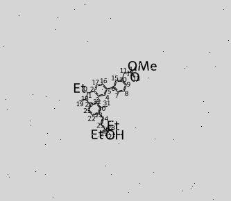 CCC(c1ccc(-c2cccc(CC(=O)OC)c2)cc1)C(C)c1ccc(/C=C/C(O)(CC)CC)c(C)c1